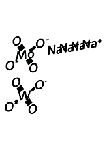 [Na+].[Na+].[Na+].[Na+].[O]=[Mo](=[O])([O-])[O-].[O]=[W](=[O])([O-])[O-]